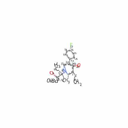 C=Cc1cn(C(C)(C)C(=O)OCC(C)C)cc(-c2ccc(F)cc2)c1=O